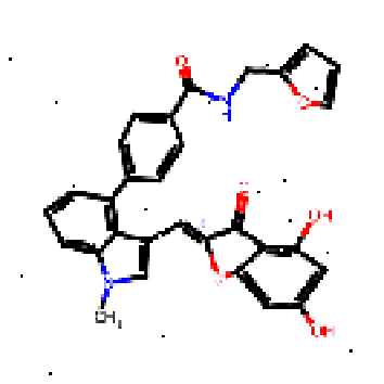 Cn1cc(/C=C2\Oc3cc(O)cc(O)c3C2=O)c2c(-c3ccc(C(=O)NCc4ccco4)cc3)cccc21